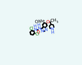 COc1cc2c(NC(=O)Nc3c(Cl)cccc3Cl)ncnc2cc1OC(C)C1CCNCC1